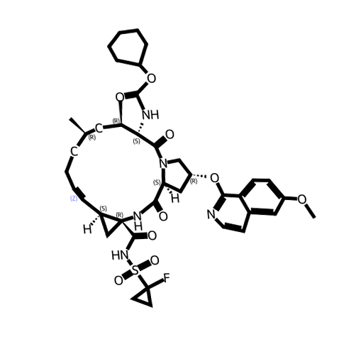 COc1ccc2c(O[C@@H]3C[C@H]4C(=O)N[C@]5(C(=O)NS(=O)(=O)C6(F)CC6)C[C@H]5/C=C\CC[C@@H](C)C[C@@H](C)[C@H](NC(=O)OC5CCCCC5)C(=O)N4C3)nccc2c1